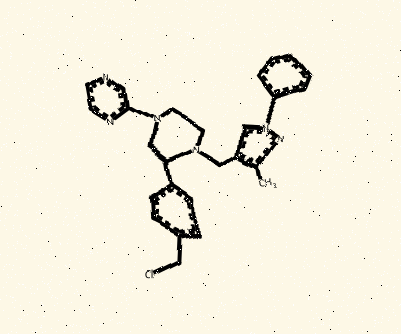 Cc1nn(-c2ccccc2)cc1CN1CCN(c2cnccn2)CC1c1ccc(CCl)cc1